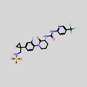 CS(=O)(=O)NCC1(c2ccc(N3CCC[C@@H](NC(=O)Nc4ccc(C(F)(F)F)cn4)C3=O)c(F)c2)CC1